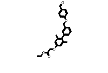 CCOC(=O)COc1cc(C)c(-c2cccc(COc3ccc(C=O)cc3)c2)c(C)c1